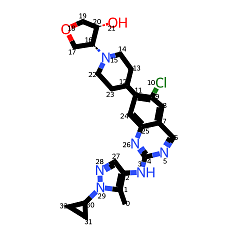 Cc1c(Nc2ncc3cc(Cl)c(C4CCN([C@@H]5COC[C@@H]5O)CC4)cc3n2)cnn1C1CC1